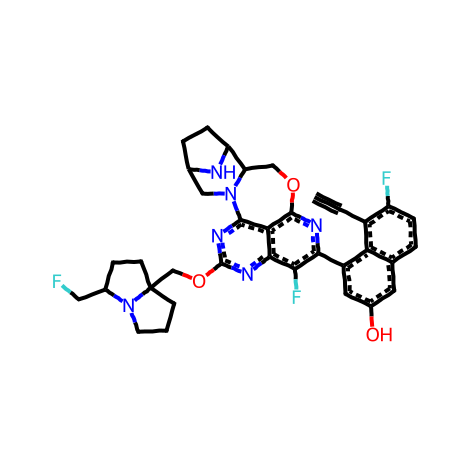 C#Cc1c(F)ccc2cc(O)cc(-c3nc4c5c(nc(OCC67CCCN6C(CF)CC7)nc5c3F)N3CC5CCC(N5)C3CO4)c12